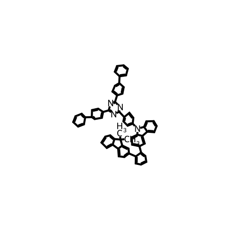 CC1(C)c2ccccc2-c2ccc(-c3ccccc3-c3ccc4c(c3)c3ccccc3n4-c3ccc(-c4nc(-c5ccc(-c6ccccc6)cc5)nc(-c5ccc(-c6ccccc6)cc5)n4)cc3)cc21